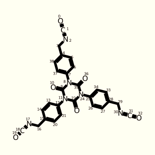 O=C=NCc1ccc(-n2c(=O)n(-c3ccc(CN=C=O)cc3)c(=O)n(-c3ccc(CN=C=O)cc3)c2=O)cc1